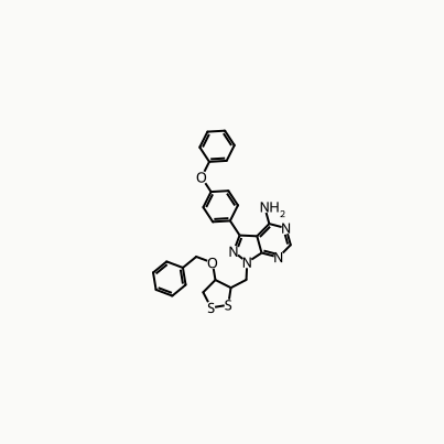 Nc1ncnc2c1c(-c1ccc(Oc3ccccc3)cc1)nn2CC1SSCC1OCc1ccccc1